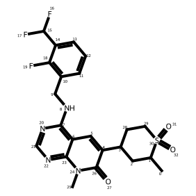 CC1CC(c2cc3c(NCc4cccc(C(F)F)c4F)ncnc3n(C)c2=O)CCS1(=O)=O